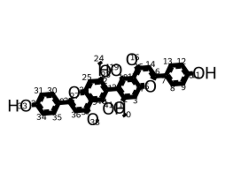 COc1cc2oc(-c3ccc(O)cc3)cc(=O)c2c(O)c1-c1c(OC)cc2oc(-c3ccc(O)cc3)cc(=O)c2c1O